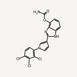 NC(=O)Oc1cccc2[nH]c(-c3ccn(-c4ccc(Cl)c(Cl)c4Cl)c3)nc12